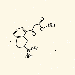 CCCN(CCC)C1CCc2cccc(C(=O)CC(=O)OC(C)(C)C)c2C1